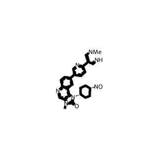 CN/C=C(\C=N)c1ccc(-c2ccc3ncc4c(c3c2)n([C@H]2CC[C@@H](N=O)CC2)c(=O)n4C)cn1